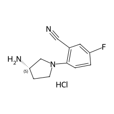 Cl.N#Cc1cc(F)ccc1N1CC[C@H](N)C1